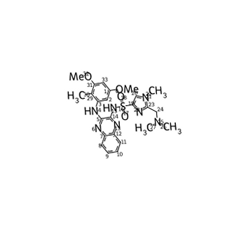 COc1cc(Nc2nc3ccccc3nc2NS(=O)(=O)c2cn(C)c(CN(C)C)n2)c(C)c(OC)c1